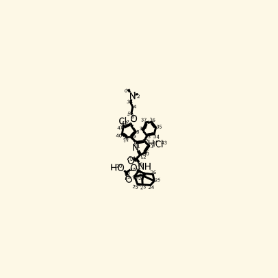 CN(C)CCCOc1cc(-c2nc(C(=O)NC3(OC(=O)O)C4CC5CC(C4)CC3C5)ccc2-c2ccccc2)ccc1Cl.Cl